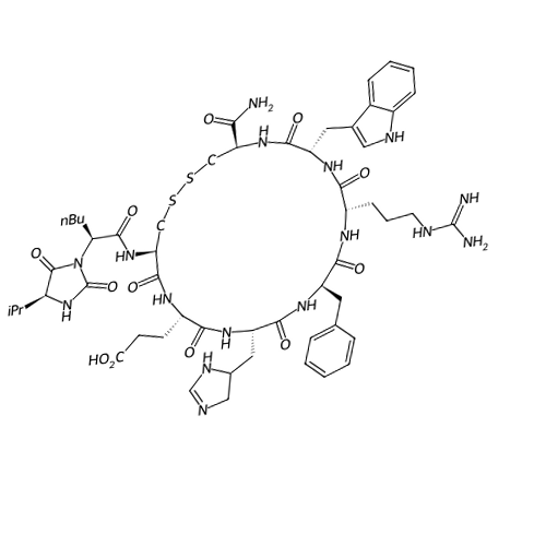 CCCC[C@@H](C(=O)N[C@H]1CSSC[C@@H](C(N)=O)NC(=O)[C@H](Cc2c[nH]c3ccccc23)NC(=O)[C@H](CCCNC(=N)N)NC(=O)[C@@H](Cc2ccccc2)NC(=O)[C@H](CC2CN=CN2)NC(=O)[C@H](CCC(=O)O)NC1=O)N1C(=O)N[C@@H](C(C)C)C1=O